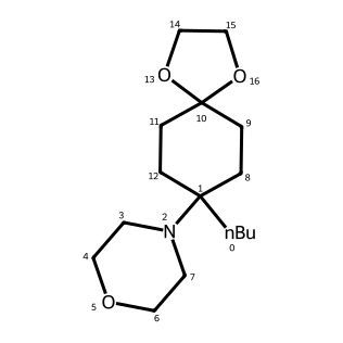 CCCCC1(N2CCOCC2)CCC2(CC1)OCCO2